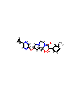 O=C(C(O)c1cccc(C(F)(F)F)c1)N1CCN2C[C@H](Oc3cnc(C4CC4)cn3)C[C@H]2C1